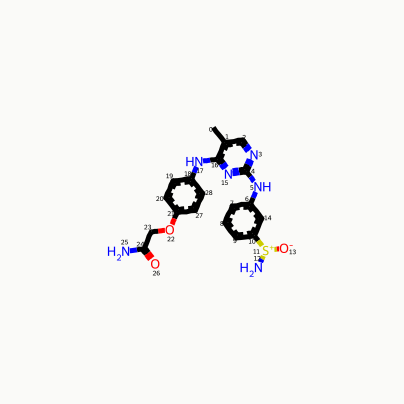 Cc1cnc(Nc2cccc([S+](N)[O-])c2)nc1Nc1ccc(OCC(N)=O)cc1